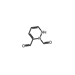 O=CC1=CC=CNN1C=O